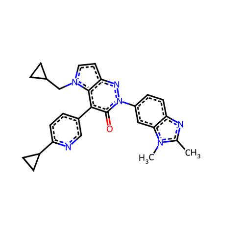 Cc1nc2ccc(-n3nc4ccn(CC5CC5)c4c(-c4ccc(C5CC5)nc4)c3=O)cc2n1C